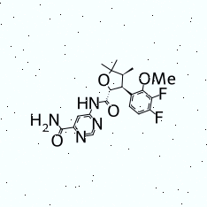 COc1c([C@H]2[C@H](C(=O)Nc3cc(C(N)=O)ncn3)OC(C)(C)[C@H]2C)ccc(F)c1F